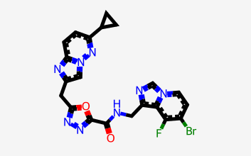 O=C(NCc1ncn2ccc(Br)c(F)c12)c1nnc(Cc2cn3nc(C4CC4)ccc3n2)o1